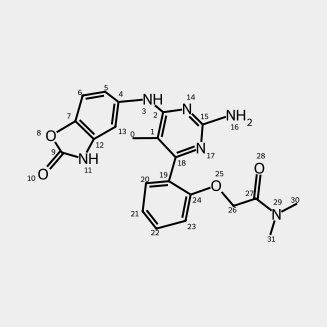 Cc1c(Nc2ccc3oc(=O)[nH]c3c2)nc(N)nc1-c1ccccc1OCC(=O)N(C)C